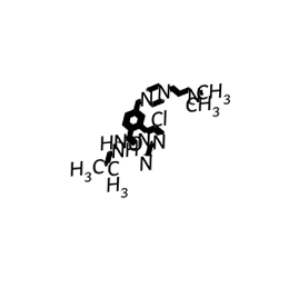 CC(C)CNNC(=O)c1ccc(CN2CCN(CCCN(C)C)CC2)cc1-c1nc(C#N)ncc1Cl